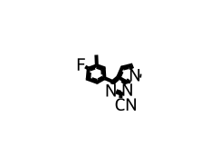 Cc1cc(-c2nc(C#N)nc3c2ccn3C)ccc1F